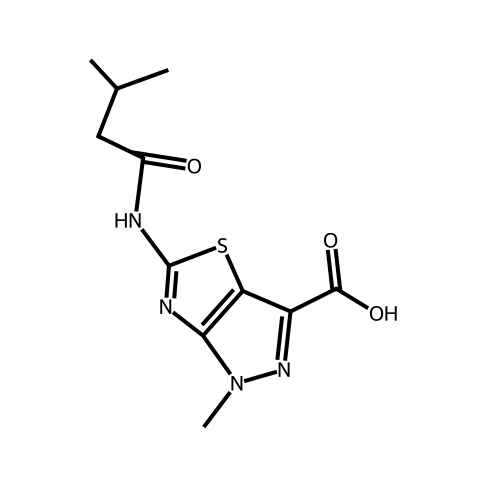 CC(C)CC(=O)Nc1nc2c(s1)c(C(=O)O)nn2C